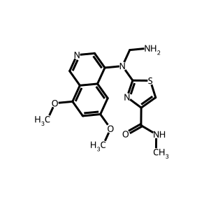 CNC(=O)c1csc(N(CN)c2cncc3c(OC)cc(OC)cc23)n1